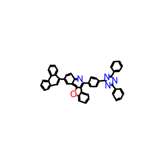 c1ccc(-c2nc(-c3ccccc3)nc(-c3ccc(-c4nc5ccc(-c6cc7ccccc7c7ccccc67)cc5c5oc6ccccc6c45)cc3)n2)cc1